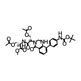 COC(=O)[C@H](COC(C)=O)NC(=O)[C@H](COC(C)=O)N1CNc2c(cccc2-c2ccc(NC(=O)OC(C)(C)C)cc2)C1=O